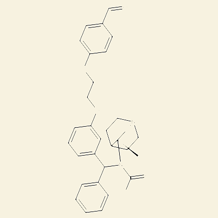 O=Cc1ccc(OCCOc2cccc(C(c3ccccc3)N(C(=O)O)[C@H]3CN4CCC3CC4)c2)cc1